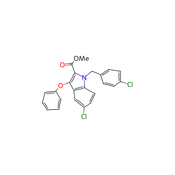 COC(=O)c1c(Oc2ccccc2)c2cc(Cl)ccc2n1Cc1ccc(Cl)cc1